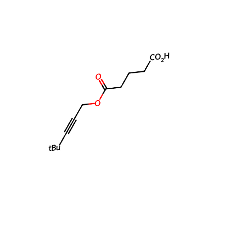 CC(C)(C)C#CCOC(=O)CCCC(=O)O